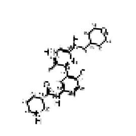 C=C(C)/C(=N\C(=C/N)NCC1CCOCC1)c1cc(NC(=O)[C@@H]2CCCNC2)ncc1Cl